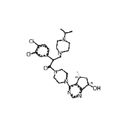 CC(C)N1CCN(CC(C(=O)N2CCN(c3ncnc4c3[C@H](C)C[C@H]4O)CC2)c2ccc(Cl)c(Cl)c2)CC1